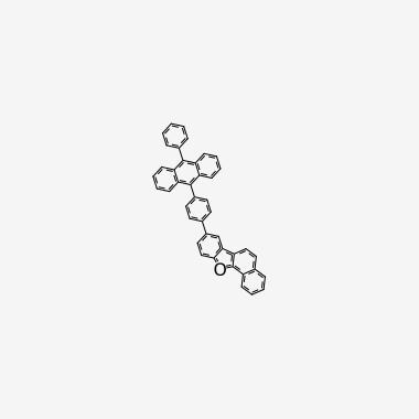 c1ccc(-c2c3ccccc3c(-c3ccc(-c4ccc5oc6c7ccccc7ccc6c5c4)cc3)c3ccccc23)cc1